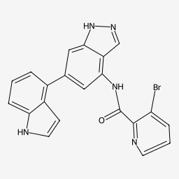 O=C(Nc1cc(-c2cccc3[nH]ccc23)cc2[nH]ncc12)c1ncccc1Br